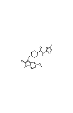 COc1ccc2c(c1)n(CC1CCC(C(=O)Nc3nc(C)co3)CC1)c(=O)n2C